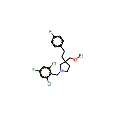 CCOCC1(CCc2ccc(F)cc2)CCN(Cc2c(Cl)cc(F)cc2Cl)C1